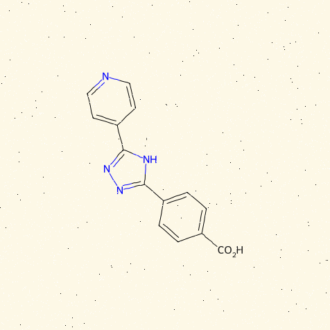 O=C(O)c1ccc(-c2nnc(-c3ccncc3)[nH]2)cc1